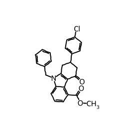 COC(=O)c1cccc2c1c1c(n2Cc2ccccc2)CC(c2ccc(Cl)cc2)CC1=O